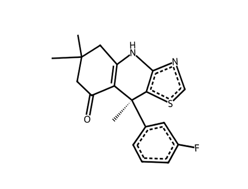 CC1(C)CC(=O)C2=C(C1)Nc1ncsc1[C@@]2(C)c1cccc(F)c1